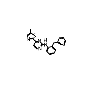 Cc1cnc(-c2ccnc(Nc3ccccc3Cc3ccccc3)n2)s1